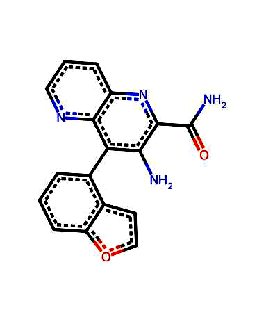 NC(=O)c1nc2cccnc2c(-c2cccc3occc23)c1N